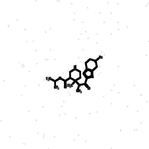 CC(=O)N1CCn2cc(C(=O)N(C)C3(C)CCNCC3C(=O)OC(C(F)(F)F)C(F)(F)F)nc2C1